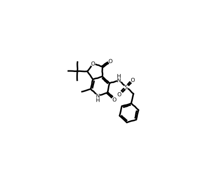 Cc1[nH]c(=O)c(NS(=O)(=O)Cc2ccccc2)c2c1C(C(C)(C)C)OC2=O